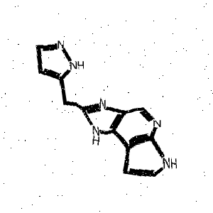 c1cc(Cc2nc3cnc4[nH]ccc4c3[nH]2)[nH]n1